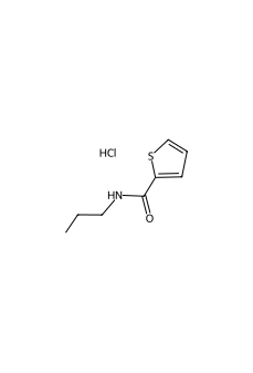 CCCNC(=O)c1cccs1.Cl